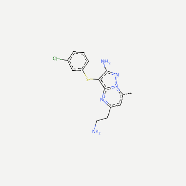 Cc1cc(CCN)nc2c(Sc3cccc(Cl)c3)c(N)nn12